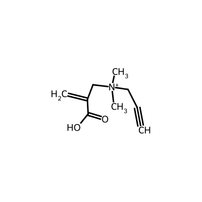 C#CC[N+](C)(C)CC(=C)C(=O)O